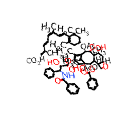 CC(=O)O[C@H]1C(=O)[C@@]2(C)[C@H]([C@H](OC(=O)c3ccccc3)[C@]3(O)C[C@H](OC(=O)[C@H](O)[C@@H](NC(=O)c4ccccc4)c4ccccc4)C(C)=C1C3(C)C)[C@]1(OC(C)=O)CO[C@@H]1C[C@@H]2O.CC1=C(/C=C/C(C)=C\C=C\C(C)=C\C(=O)O)C(C)(C)CCC1